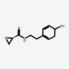 O=C(NCCC1=CCC(O)C=C1)[C@H]1CO1